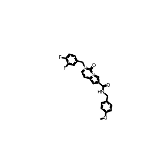 COc1ccc(CNC(=O)c2cc3ccn(Cc4ccc(F)c(F)c4)c(=O)n3c2)cc1